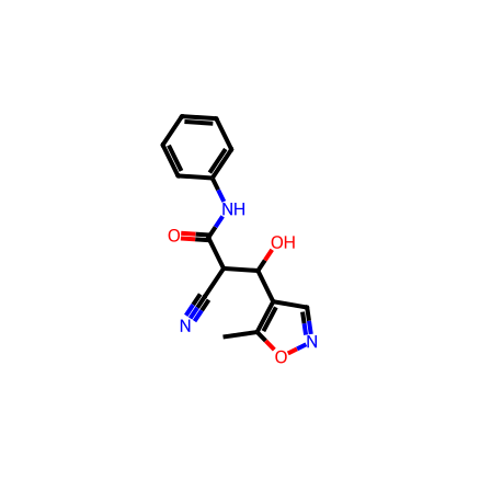 Cc1oncc1C(O)C(C#N)C(=O)Nc1ccccc1